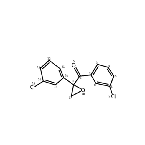 O=C(c1cccc(Cl)c1)C1(c2cccc(Cl)c2)CO1